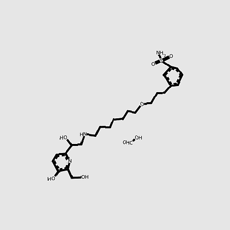 NS(=O)(=O)c1cccc(CCCOCCCCCCCNCC(O)c2ccc(O)c(CO)n2)c1.O=CO